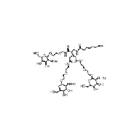 CC(=O)CCCCCCC(=O)NCC(C(=O)NCOCCOC1OC(CO)C(O)C(O)C1NC(C)=O)N(CC(=O)NCCOCCOC1OC(CO)C(O)C(O)C1NC(C)=O)CC(=O)NCCOCCOC1OC(CO)C(O)C(O)C1NC(C)=O